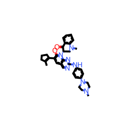 CC1=C(c2cc3cnc(Nc4ccc(N5CCN(C)CC5)cc4)nc3n(C3CN(C)c4ccccc4C3=O)c2=O)CCC1